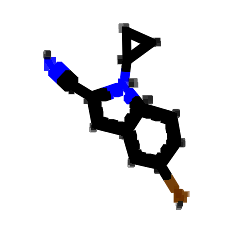 N#Cc1cc2cc(Br)ccc2n1C1CC1